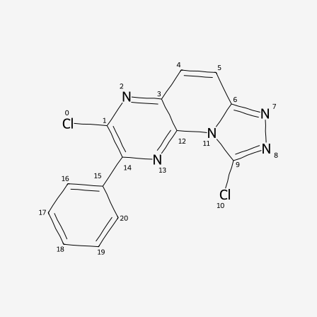 Clc1nc2ccc3nnc(Cl)n3c2nc1-c1ccccc1